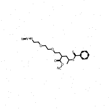 CC(CC(CCOCCOCCN=[N+]=[N-])C(=O)OC#N)SC(=S)c1ccccc1